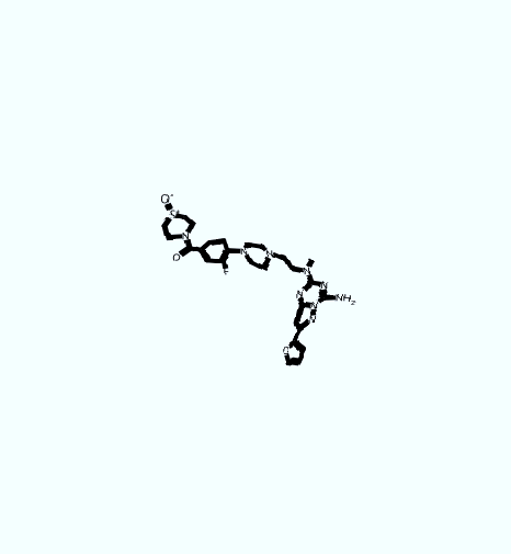 CN(CCN1CCN(c2ccc(C(=O)N3CC[S+]([O-])CC3)cc2F)CC1)c1nc(N)n2nc(-c3ccco3)cc2n1